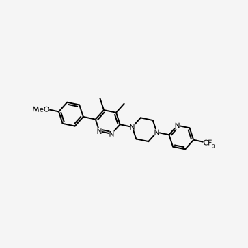 COc1ccc(-c2nnc(N3CCN(c4ccc(C(F)(F)F)cn4)CC3)c(C)c2C)cc1